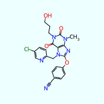 Cn1c(=O)n(CCCO)c(=O)c2c1nc(Oc1ccc(C#N)cc1)n2Cc1ccc(Cl)cn1